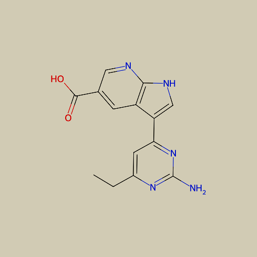 CCc1cc(-c2c[nH]c3ncc(C(=O)O)cc23)nc(N)n1